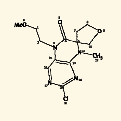 COCCN1C(=O)C2(CCOC2)N(C)c2nc(Cl)ncc21